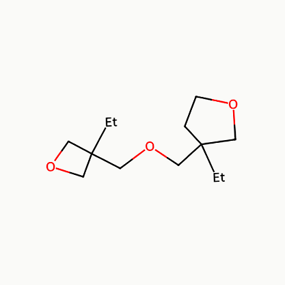 CCC1(COCC2(CC)COC2)CCOC1